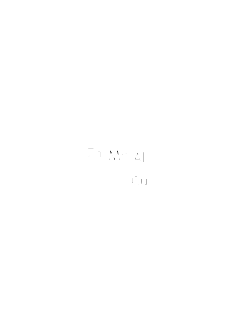 [Al].[Cu].[Mn].[Zn]